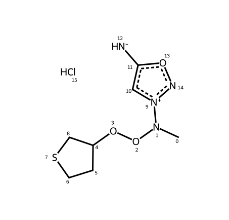 CN(OOC1CCSC1)[n+]1cc([NH-])on1.Cl